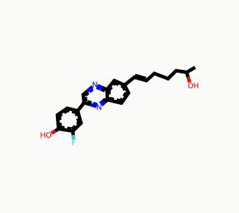 CC(O)CCCC=Cc1ccc2nc(-c3ccc(O)c(F)c3)cnc2c1